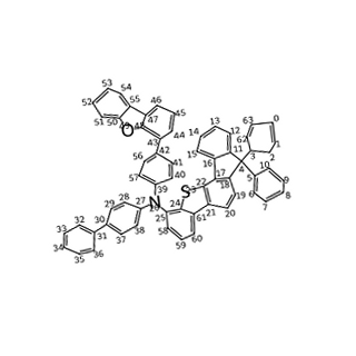 C1=CCC(C2(c3ccccc3)c3ccccc3-c3c2ccc2c3sc3c(N(c4ccc(-c5ccccc5)cc4)c4ccc(-c5cccc6c5oc5ccccc56)cc4)cccc32)C=C1